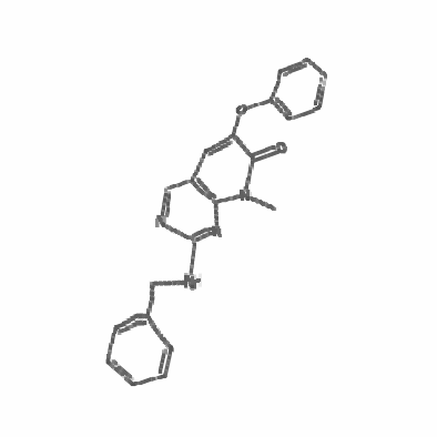 Cn1c(=O)c(Oc2ccccc2)cc2cnc(NCc3ccccc3)nc21